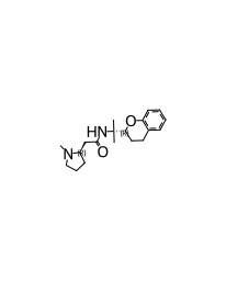 CN1CCC[C@@H]1CC(=O)NC(C)(C)[C@H]1CCc2ccccc2O1